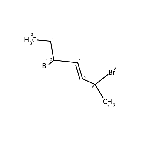 CCC(Br)C=CC(C)Br